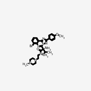 COc1ccc(-c2nc3c4cccc(Br)c4nc([C@](N)(C(=O)NCCN4CCN(C)CC4)C(C)C)n3n2)cc1